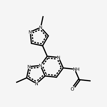 CC(=O)Nc1cc2nc(C)nn2c(-c2cnn(C)c2)n1